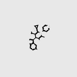 COC(=O)C1=C(C2CC2)N(c2ccncc2)C(C)=C(C(C)=O)C1c1csc2ccc(Cl)cc12